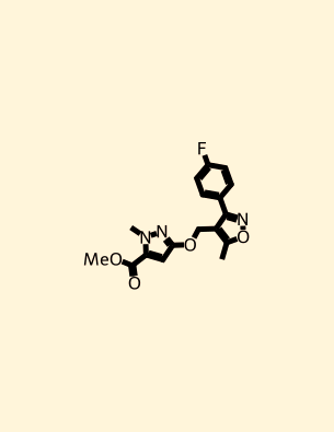 COC(=O)c1cc(OCc2c(-c3ccc(F)cc3)noc2C)nn1C